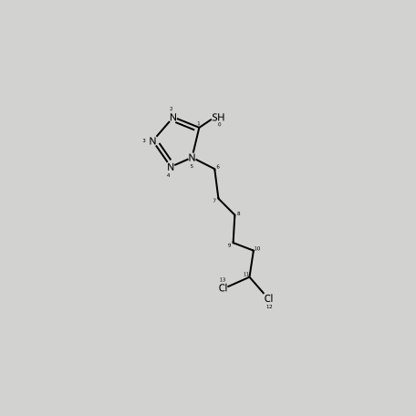 Sc1nnnn1CCCCCC(Cl)Cl